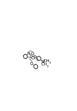 CN(C)c1ccc(/C=C/C23OCCN2c2ccccc2C3(C)CCOc2ccccc2)cc1